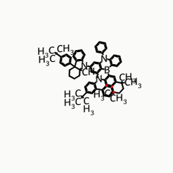 CC(C)(C)c1ccc(C23CCCCC2(C)N(c2cc4c5c(c2)N(c2ccc(C(C)(C)C)cc2-c2ccccc2)c2cc6c(cc2B5c2ccccc2N4c2ccccc2)C(C)(C)CCC6(C)C)c2ccccc23)cc1